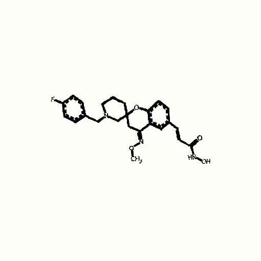 CON=C1CC2(CCCN(Cc3ccc(F)cc3)C2)Oc2ccc(C=CC(=O)NO)cc21